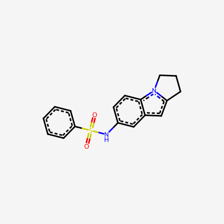 O=S(=O)(Nc1ccc2c(c1)cc1n2CCC1)c1ccccc1